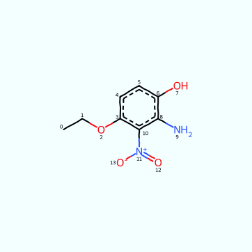 CCOc1ccc(O)c(N)c1[N+](=O)[O-]